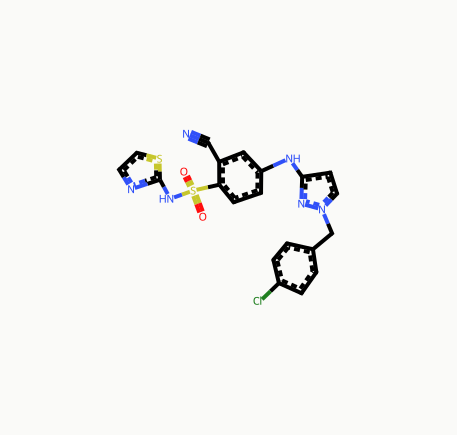 N#Cc1cc(Nc2ccn(Cc3ccc(Cl)cc3)n2)ccc1S(=O)(=O)Nc1nccs1